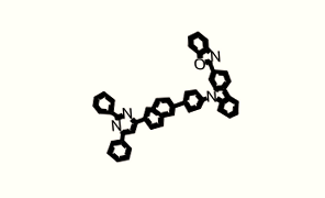 c1ccc(-c2cc(-c3ccc4cc(-c5ccc(-n6c7ccccc7c7ccc(-c8nc9ccccc9o8)cc76)cc5)ccc4c3)nc(-c3ccccc3)n2)cc1